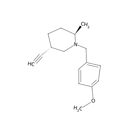 C#C[C@@H]1CC[C@@H](C)N(Cc2ccc(OC)cc2)C1